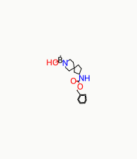 CB(O)N1CCC2(CCC(NC(=O)OCc3ccccc3)C2)CC1